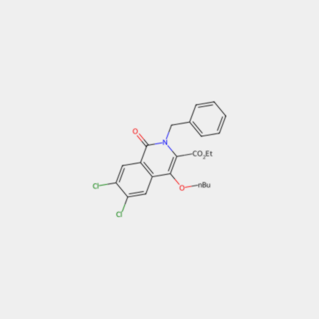 CCCCOc1c(C(=O)OCC)n(Cc2ccccc2)c(=O)c2cc(Cl)c(Cl)cc12